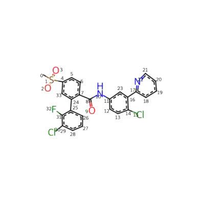 CS(=O)(=O)c1ccc(C(=O)Nc2ccc(Cl)c(-c3ccccn3)c2)c(-c2cccc(Cl)c2F)c1